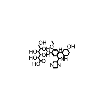 CCOc1cc2c(cc1OC)C(c1cnccn1)=N[C@@H]1CC[C@@H](O)C[C@H]21.O=C(O)[C@H](O)[C@@H](O)[C@H](O)[C@H](O)CO